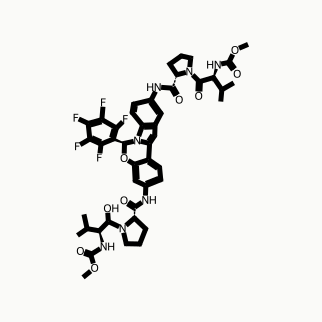 COC(=O)N[C@@H](C(C)C)C(O)N1CCC[C@H]1C(=O)Nc1ccc2c(c1)O[C@@H](c1c(F)c(F)c(F)c(F)c1F)n1c-2cc2cc(NC(=O)[C@@H]3CCCN3C(=O)[C@@H](NC(=O)OC)C(C)C)ccc21